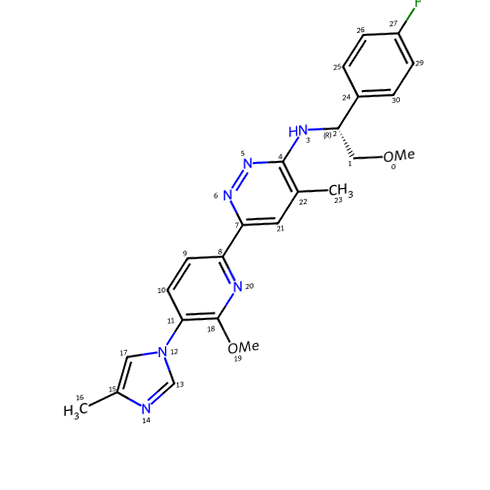 COC[C@H](Nc1nnc(-c2ccc(-n3cnc(C)c3)c(OC)n2)cc1C)c1ccc(F)cc1